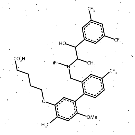 COc1cc(C)c(OCCCCC(=O)O)cc1-c1ccc(C(F)(F)F)cc1CN(C(C)C)C(C)C(O)c1cc(C(F)(F)F)cc(C(F)(F)F)c1